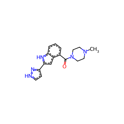 CN1CCN(C(=O)c2cccc3[nH]c(-c4cc[nH]n4)cc23)CC1